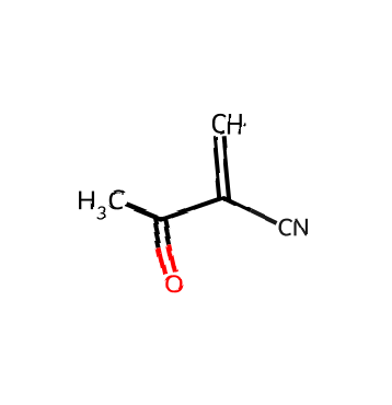 [CH]=C(C#N)C(C)=O